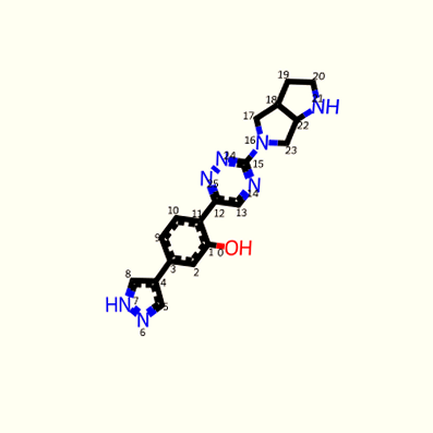 Oc1cc(-c2cn[nH]c2)ccc1-c1cnc(N2CC3CCNC3C2)nn1